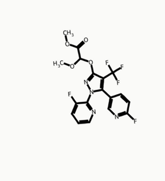 COC(=O)C(OC)Oc1nn(-c2ncccc2F)c(-c2ccc(F)nc2)c1C(F)(F)F